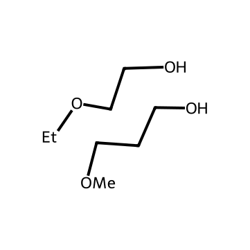 CCOCCO.COCCCO